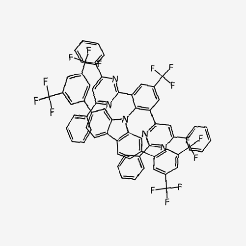 FC(F)(F)c1cc(-c2ccc3c4ccc(-c5cc(C(F)(F)F)cc(C(F)(F)F)c5)cc4n(-c4c(-c5cc(-c6ccccc6)nc(-c6ccccc6)n5)cc(C(F)(F)F)cc4-c4nc(-c5ccccc5)cc(-c5ccccc5)n4)c3c2)cc(C(F)(F)F)c1